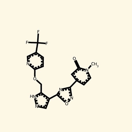 Cn1ccc(-c2noc(-c3cn[nH]c3COc3ccc(C(F)(F)F)cn3)n2)cc1=O